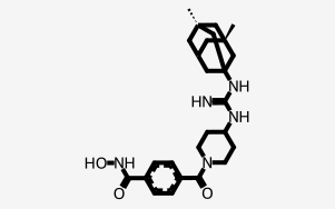 C[C@]12CC3CC(NC(=N)NC4CCN(C(=O)c5ccc(C(=O)NO)cc5)CC4)(C1)C[C@@](C)(C3)C2